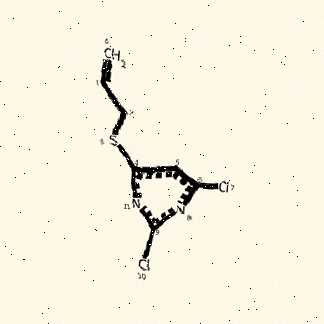 C=CCSc1cc(Cl)nc(Cl)n1